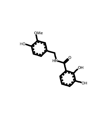 COc1cc(CNC(=O)c2cccc(O)c2O)ccc1O